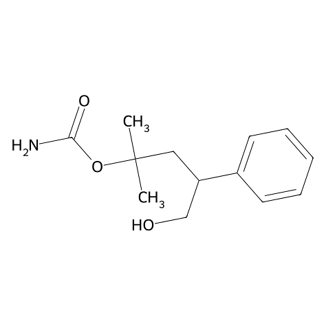 CC(C)(CC(CO)c1ccccc1)OC(N)=O